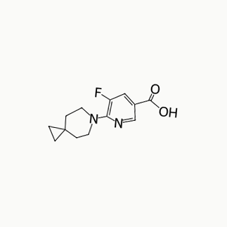 O=C(O)c1cnc(N2CCC3(CC2)CC3)c(F)c1